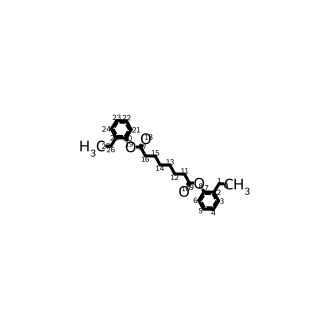 CCc1ccccc1OC(=O)CCCCCCC(=O)Oc1ccccc1CC